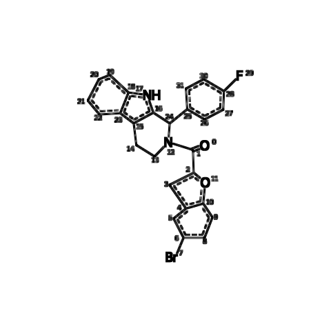 O=C(c1cc2cc(Br)ccc2o1)N1CCc2c([nH]c3ccccc23)C1c1ccc(F)cc1